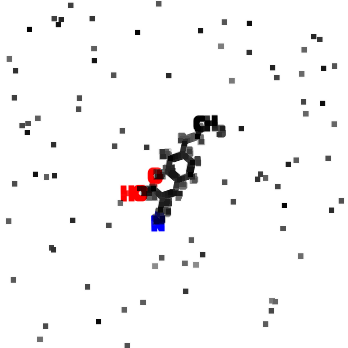 CC=Cc1ccc(C=C(C#N)C(=O)O)cc1